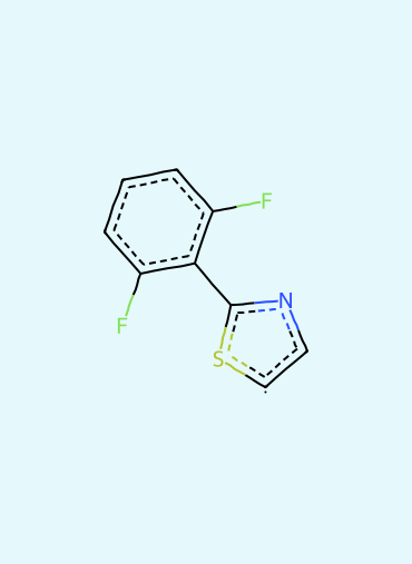 Fc1cccc(F)c1-c1nc[c]s1